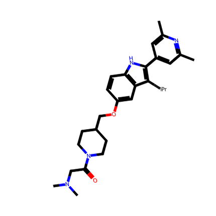 Cc1cc(-c2[nH]c3ccc(OCC4CCN(C(=O)CN(C)C)CC4)cc3c2C(C)C)cc(C)n1